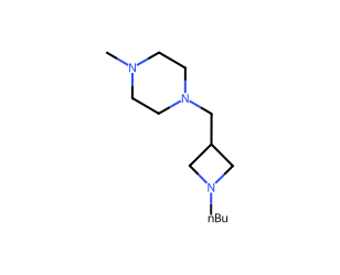 CCCCN1CC(CN2CCN(C)CC2)C1